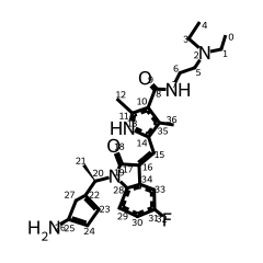 CCN(CC)CCNC(=O)c1c(C)[nH]c(/C=C2\C(=O)N([C@H](C)C3=CC=C(N)C3)c3ccc(F)cc32)c1C